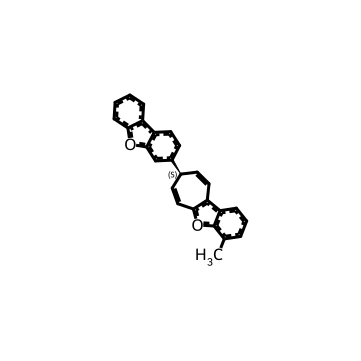 Cc1cccc2c3c(oc12)C=C[C@@H](c1ccc2c(c1)oc1ccccc12)C=C3